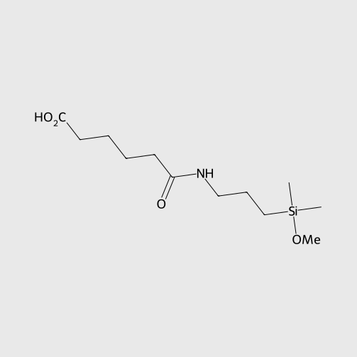 CO[Si](C)(C)CCCNC(=O)CCCCC(=O)O